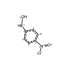 O=[N+]([O-])c1ccc(BO)cc1